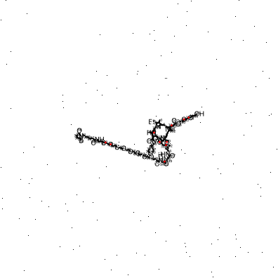 CCC1=C(C)c2cc3[nH]c(cc4nc(c5c6[nH]c(cc1n2)c(C)c6C(=O)N(CCN1CCOCC1)C5=O)[C@@H](CCC(=O)N(C)CCNC(=O)[C@H](C)NC(=O)[C@H](C)NC(=O)CCOCCOCCOCCOCCOCCOCCOCCOCCNC(=O)CCCCCN1C(=O)C=CC1=O)[C@@H]4C)c(C)c3/C=C/C(=O)OCCOCCOCCO